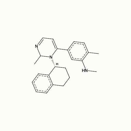 CNc1cc(C2=CC=NC(C)N2[C@@H]2CCCc3ccccc32)ccc1C